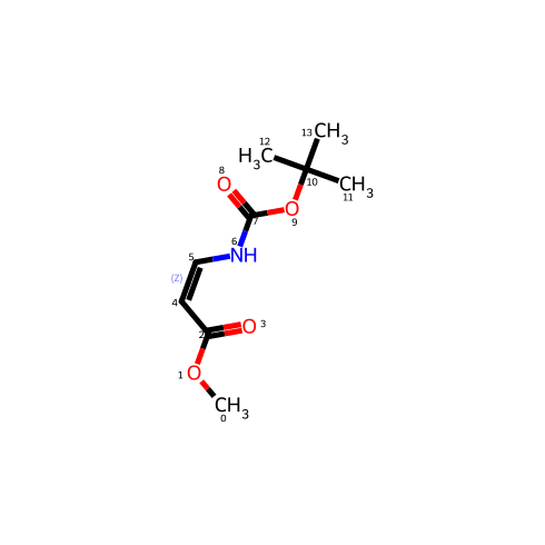 COC(=O)/C=C\NC(=O)OC(C)(C)C